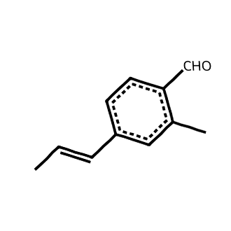 C/C=C/c1ccc(C=O)c(C)c1